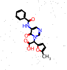 Cc1ccc(C(C(=O)O)n2cncc(NC(=O)c3ccccc3)c2=O)o1